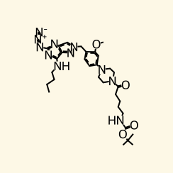 CCCCNc1nc(N=[N+]=[N-])nc2cn(Cc3ccc(N4CCN(C(=O)CCCCNC(=O)OC(C)(C)C)CC4)cc3OC)nc12